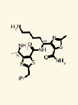 Cc1nc([C@H](CCCCN)NC(=O)c2sc(CC(C)C)nc2[C@H](C)N)c(C(N)=O)s1